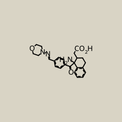 NC1(C(=O)c2ccc(C=NN3CCOCC3)cc2)c2ccccc2CCC1CC(=O)O